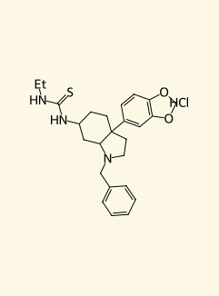 CCNC(=S)NC1CCC2(c3ccc4c(c3)OCO4)CCN(Cc3ccccc3)C2C1.Cl